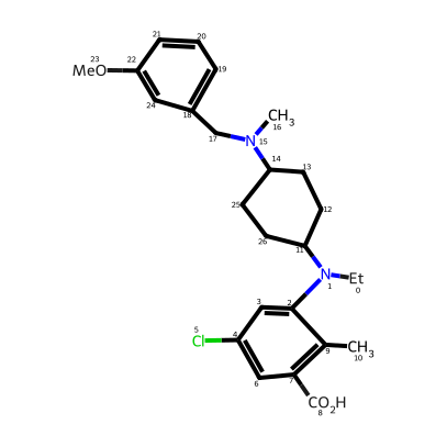 CCN(c1cc(Cl)cc(C(=O)O)c1C)C1CCC(N(C)Cc2cccc(OC)c2)CC1